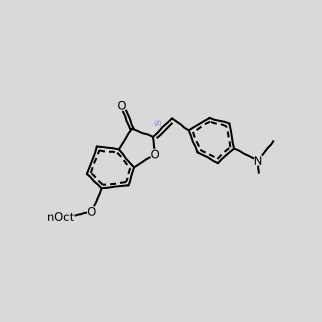 CCCCCCCCOc1ccc2c(c1)O/C(=C\c1ccc(N(C)C)cc1)C2=O